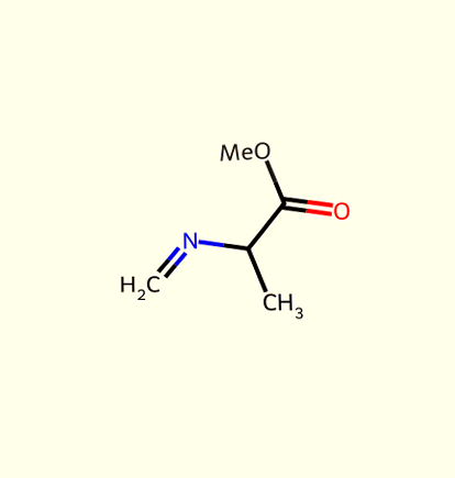 C=NC(C)C(=O)OC